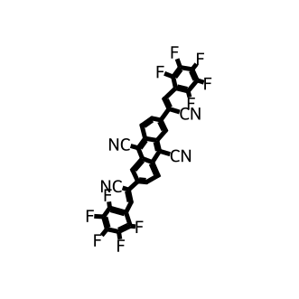 N#C/C(=C\c1c(F)c(F)c(F)c(F)c1F)c1ccc2c(C#N)c3cc(/C(C#N)=C/c4c(F)c(F)c(F)c(F)c4F)ccc3c(C#N)c2c1